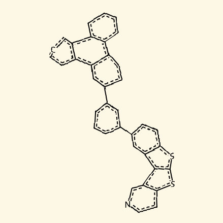 c1cc(-c2ccc3c4ccccc4c4ccccc4c3c2)cc(-c2ccc3sc4sc5ccncc5c4c3c2)c1